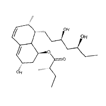 CC[C@H](O)C[C@H](O)CC[C@@H]1C2C(=C[C@@H](O)C[C@@H]2OC(=O)[C@@H](C)CC)C=C[C@@H]1C